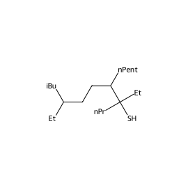 CCCCCC(CCC(CC)C(C)CC)C(S)(CC)CCC